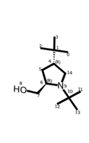 CC(C)(C)[C@H]1C[C@H](CO)N(C(C)(C)C)C1